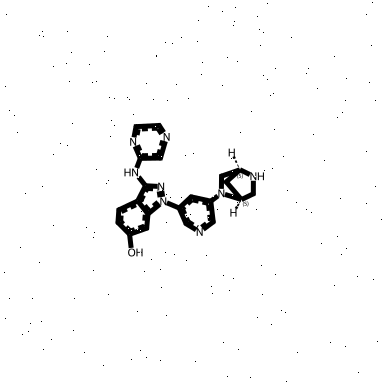 Oc1ccc2c(Nc3cnccn3)nn(-c3cncc(N4C[C@@H]5C[C@H]4CN5)c3)c2c1